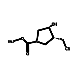 CC(C)(C)OC(=O)N1C[C@@H](CC#N)[C@@H](O)C1